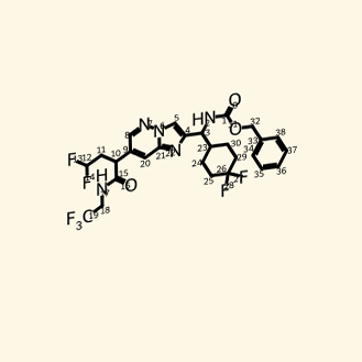 O=C(NC(c1cn2ncc(C(CC(F)F)C(=O)NCC(F)(F)F)cc2n1)C1CCC(F)(F)CC1)OCc1ccccc1